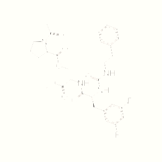 COC(=O)[C@H](COC(=O)C1CCCN1C(C)=O)NC(=O)[C@H](Cc1cc(F)cc(F)c1)NC(=O)NCCc1ccccc1